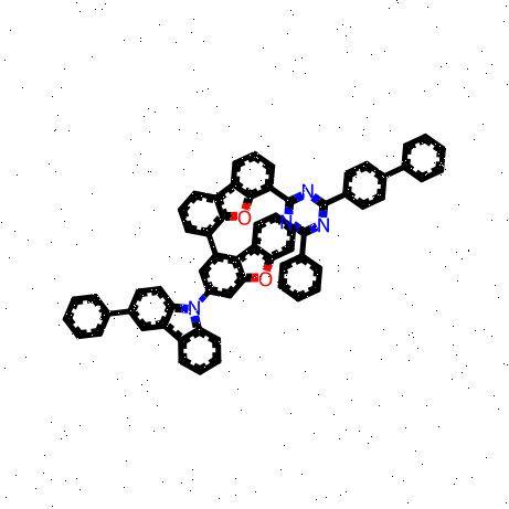 c1ccc(-c2ccc(-c3nc(-c4ccccc4)nc(-c4cccc5c4oc4c(-c6cc(-n7c8ccccc8c8cc(-c9ccccc9)ccc87)cc7oc8ccccc8c67)cccc45)n3)cc2)cc1